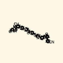 Cc1nn(C2CCC(=O)NC2=O)c(=O)c2cc(N3CCC(N4CCN(CC(=O)N5CCC(COc6cnc(-c7cccc(Cn8nc(-c9cccc(C#N)c9)ccc8=O)c7)nc6)CC5)CC4)CC3)ccc12